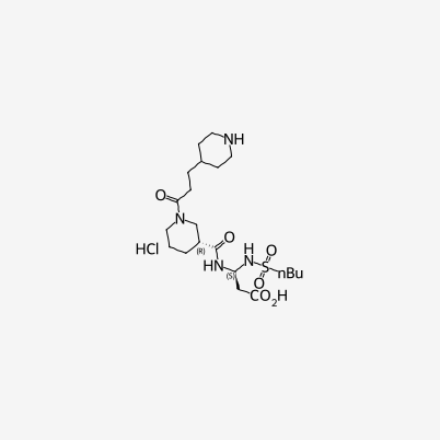 CCCCS(=O)(=O)N[C@@H](CC(=O)O)NC(=O)[C@@H]1CCCN(C(=O)CCC2CCNCC2)C1.Cl